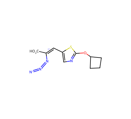 [N-]=[N+]=N/C(=C\c1cnc(OC2CCC2)s1)C(=O)O